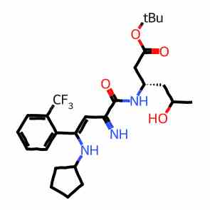 CC(O)C[C@@H](CC(=O)OC(C)(C)C)NC(=O)C(=N)/C=C(\NC1CCCC1)c1ccccc1C(F)(F)F